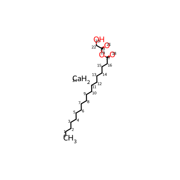 CCCCCCCCCCCCCCCCCC(=O)OC(=O)CO.[CaH2]